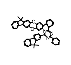 CC1(C)c2ccccc2-c2ccc(-c3nc(-c4ccccc4)nc(-c4ccccc4-c4ccc5c(c4)Oc4cc6c(cc4O5)-c4ccccc4C6(C)C)n3)cc21